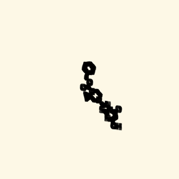 O=C(OCc1ccccc1)N1CCN(c2nn3c(=O)cc(O)nc3s2)CC12CC2